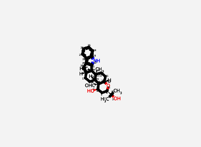 CC(C)(O)[C@@H]1C[C@@H](O)[C@]2(C=O)[C@H](CC[C@@]3(C)[C@H]2CC[C@H]2Cc4c([nH]c5ccccc45)[C@@]23C)O1